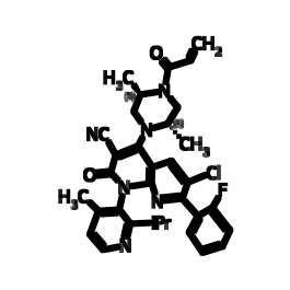 C=CC(=O)N1C[C@H](C)N(c2c(C#N)c(=O)n(-c3c(C)ccnc3C(C)C)c3nc(-c4ccccc4F)c(Cl)cc23)C[C@H]1C